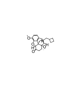 COc1ccc2c3c1O[C@H]1C(=O)C[C@@H](C)[C@@]4(OC)[C@@H](C2)N(CC2CCC2)CC[C@]314